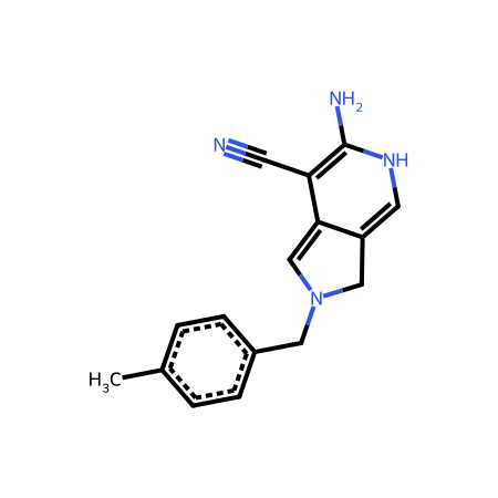 Cc1ccc(CN2C=C3C(=CNC(N)=C3C#N)C2)cc1